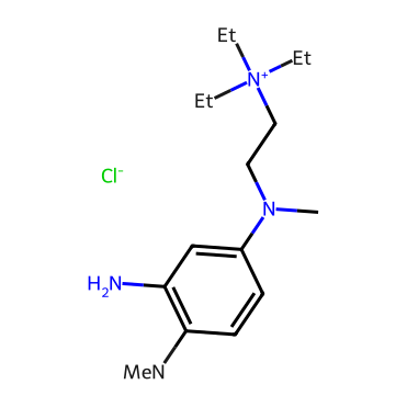 CC[N+](CC)(CC)CCN(C)c1ccc(NC)c(N)c1.[Cl-]